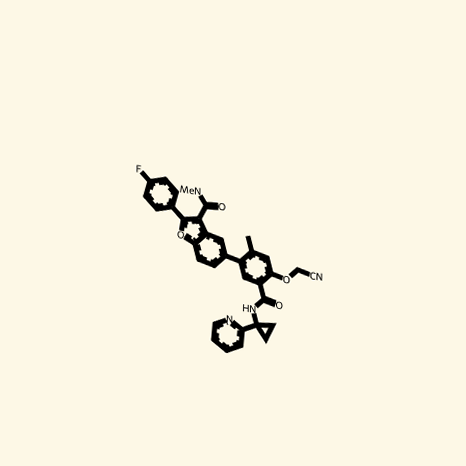 CNC(=O)c1c(-c2ccc(F)cc2)oc2ccc(-c3cc(C(=O)NC4(c5ccccn5)CC4)c(OCC#N)cc3C)cc12